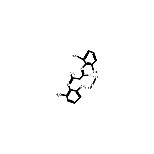 CC(CC(C)=Nc1c(C)cccc1C)=Nc1c(C)cccc1C.[Cl][Fe][Cl]